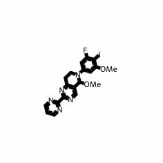 COc1cc(N2CCc3nc(-c4ncccn4)ncc3C2OC)cc(F)c1I